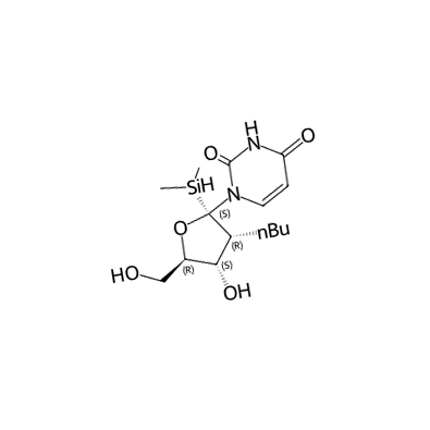 CCCC[C@@H]1[C@H](O)[C@@H](CO)O[C@]1(n1ccc(=O)[nH]c1=O)[SiH](C)C